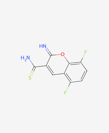 N=c1oc2c(F)ccc(F)c2cc1C(N)=S